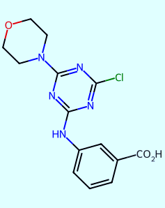 O=C(O)c1cccc(Nc2nc(Cl)nc(N3CCOCC3)n2)c1